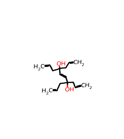 C=CCC(O)(C=CC(O)(CC=C)CC=C)CC=C